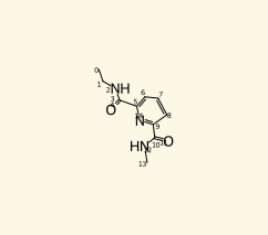 CCNC(=O)c1cccc(C(=O)NC)n1